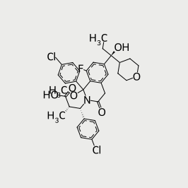 CC[C@@](O)(c1cc(F)c2c(c1)CC(=O)N([C@H](c1ccc(Cl)cc1)[C@H](C)C(=O)O)C2(OC)c1ccc(Cl)cc1)C1CCOCC1